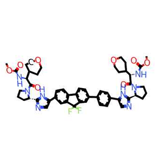 COC(=O)N[C@H](C(=O)N1CCC[C@H]1c1ncc(-c2ccc(-c3ccc4c(c3)C(F)(F)c3cc(-c5cnc([C@@H]6CCCN6C(=O)[C@@H](NC(=O)OC)C6CCOCC6)[nH]5)ccc3-4)cc2)[nH]1)C1CCOCC1